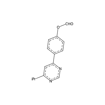 CC(C)c1cc(-c2ccc(OC=O)cc2)ncn1